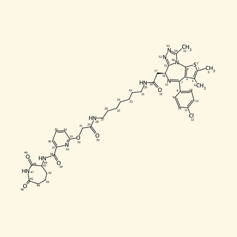 Cc1sc2c(c1C)C(c1ccc(Cl)cc1)=N[C@@H](CC(=O)NCCCCCCCNC(=O)COc1cccc(C(=O)NC3CCCC(=O)NC3=O)n1)c1nnc(C)n1-2